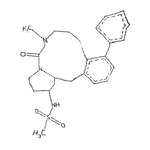 CN1CCCc2c(cccc2-c2ccccc2)CC2C(NS(C)(=O)=O)CCN2C1=O